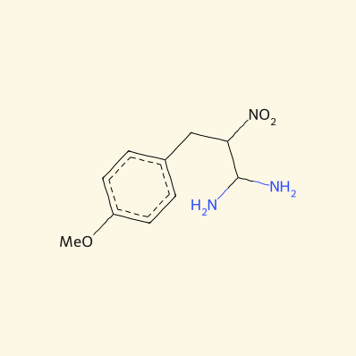 COc1ccc(CC(C(N)N)[N+](=O)[O-])cc1